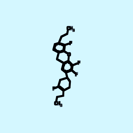 CCCC1=C(F)CC(c2cc3c(c(F)c2F)Oc2c(ccc(CCC)c2F)C3)CC1